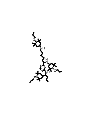 CCCON1C(C)(C)CC(NCCCCCC(NC2CC(C)(C)N(OCCC)C(C)(C)C2)c2ncnc(NC(CCC)C3CC(C)(C)N(OCCC)C(C)(C)C3)n2)CC1(C)C